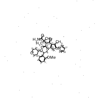 COc1ccccc1[C@H](Cn1c(=O)n(C(C)(C)C(N)=O)c(=O)c2c(C)c(-n3nccn3)sc21)OC1CCOCC1